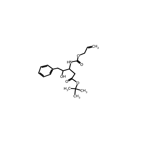 C=CCOC(=O)NC(CC(=O)OC(C)(C)C)C(O)Cc1ccccc1